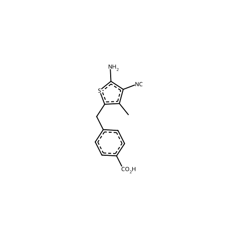 [C-]#[N+]c1c(N)sc(Cc2ccc(C(=O)O)cc2)c1C